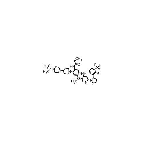 C=CC(=O)Nc1cc(Nc2cc(N3OCC[C@@H]3c3cccc(C(F)(F)F)c3F)ncn2)c(OC)cc1N1CCC(N2CCN(C(C)C)CC2)CC1